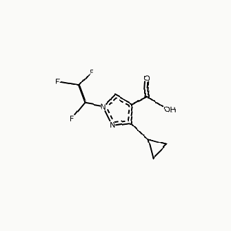 O=C(O)c1cn(C(F)C(F)F)nc1C1CC1